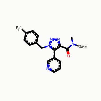 CON(C)C(=O)c1nnn(Cc2ccc(C(F)(F)F)cc2)c1-c1cccnc1